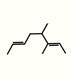 [CH2]C(CC=CC)C(C)=CC